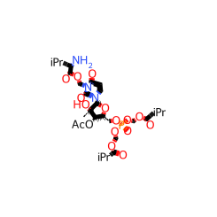 CC(=O)O[C@@H]1[C@@H](COP(=O)(OCOC(=O)C(C)C)OCOC(=O)C(C)C)O[C@@H](n2ccc(=O)n(COC(=O)C(N)C(C)C)c2=O)[C@]1(C)O